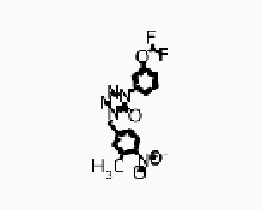 Cc1cc(Cn2nnn(-c3cccc(OC(F)F)c3)c2=O)ccc1[N+](=O)[O-]